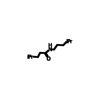 CC(C)CCCNC(=O)CCC(C)C